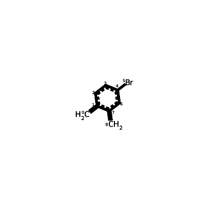 C=c1ccc(Br)cc1=C